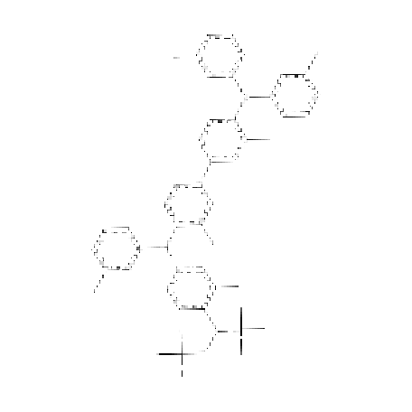 Cc1cccc(N(c2cccc(C)c2)c2ccc(-c3ccc(N(c4cccc(C)c4)c4ccc(C(CC(C)(C)C)C(C)(C)C)c(C)c4)c(C)c3)cc2C)c1